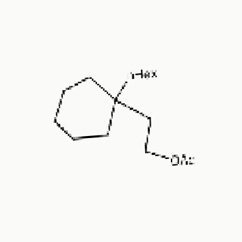 CCCCCCC1(CCOC(C)=O)CCCCC1